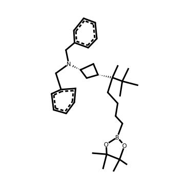 CC1(C)OB(CCCCC(C)([C@H]2C[C@@H](N(Cc3ccccc3)Cc3ccccc3)C2)C(C)(C)C)OC1(C)C